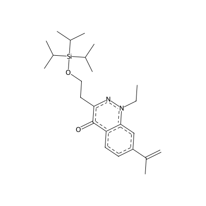 C=C(C)c1ccc2c(=O)c(CCO[Si](C(C)C)(C(C)C)C(C)C)nn(CC)c2c1